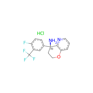 Cl.N[C@]1(c2ccc(F)c(C(F)(F)F)c2)CCOc2cccnc21